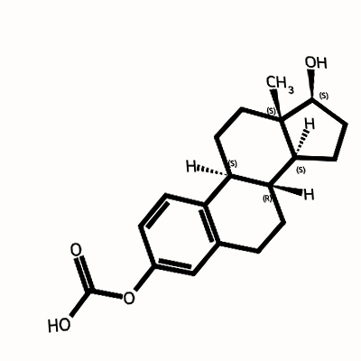 C[C@]12CC[C@@H]3c4ccc(OC(=O)O)cc4CC[C@H]3[C@@H]1CC[C@@H]2O